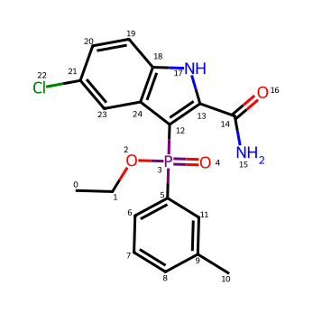 CCOP(=O)(c1cccc(C)c1)c1c(C(N)=O)[nH]c2ccc(Cl)cc12